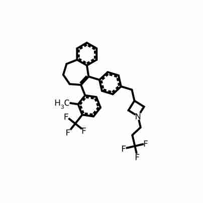 Cc1c(C2=C(c3ccc(CC4CN(CCC(F)(F)F)C4)cc3)c3ccccc3CCC2)cccc1C(F)(F)F